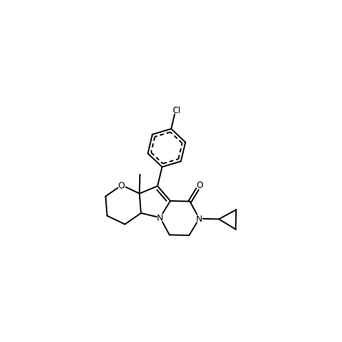 CC12OCCCC1N1CCN(C3CC3)C(=O)C1=C2c1ccc(Cl)cc1